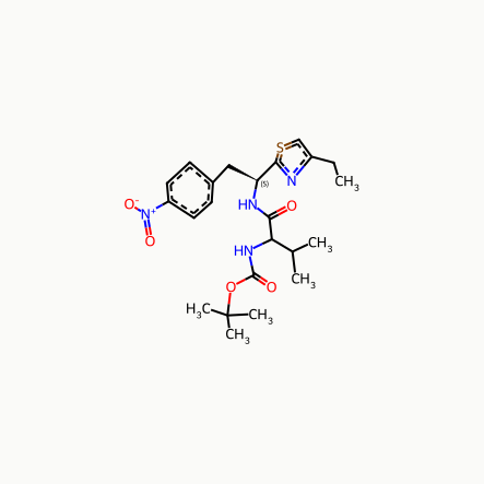 CCc1csc([C@H](Cc2ccc([N+](=O)[O-])cc2)NC(=O)C(NC(=O)OC(C)(C)C)C(C)C)n1